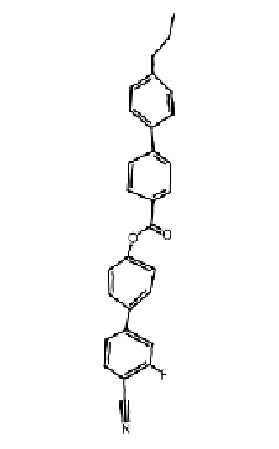 CCCc1ccc(-c2ccc(C(=O)Oc3ccc(-c4ccc(C#N)c(F)c4)cc3)cc2)cc1